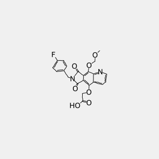 COCOc1c2c(c(OCC(=O)O)c3cccnc13)C(=O)N(Cc1ccc(F)cc1)C2=O